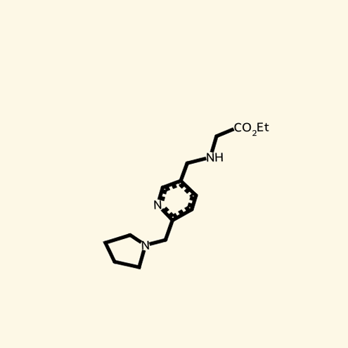 CCOC(=O)CNCc1ccc(CN2CCCC2)nc1